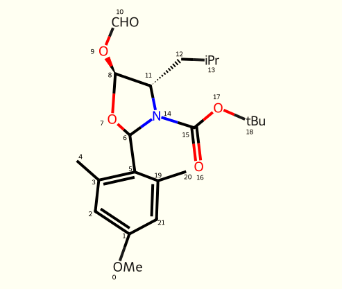 COc1cc(C)c(C2O[C@@H](OC=O)[C@H](CC(C)C)N2C(=O)OC(C)(C)C)c(C)c1